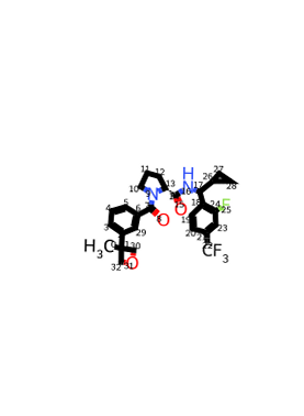 CC1(c2cccc(C(=O)N3CCC[C@@H]3C(=O)NC(c3ccc(C(F)(F)F)cc3F)C3CC3)c2)COC1